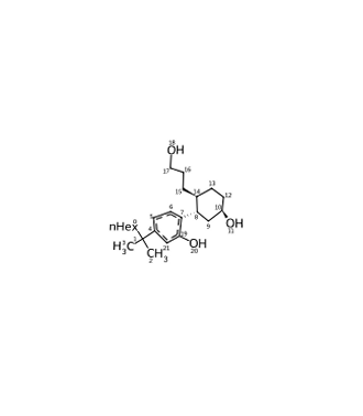 CCCCCCC(C)(C)c1ccc([C@H]2C[C@H](O)CC[C@@H]2CCCO)c(O)c1